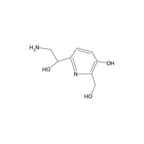 NCC(O)c1ccc(O)c(CO)n1